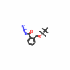 CC(C)(C)[Si](C)(C)OCc1ccccc1C(=O)N=[N+]=[N-]